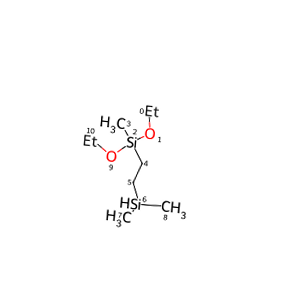 CCO[Si](C)(CC[SiH](C)C)OCC